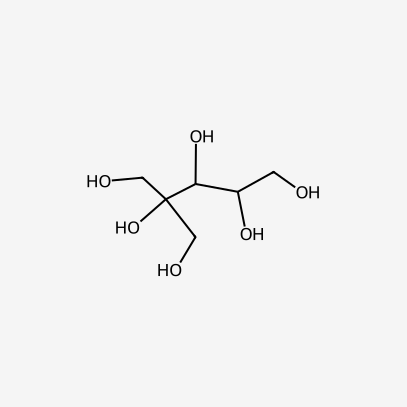 OCC(O)C(O)C(O)(CO)CO